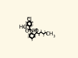 CCCCCC(=O)c1ccccc1NC(=O)c1ccc(Cl)cc1O